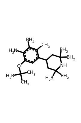 Bc1c(C)c(C2CC(B)(B)NC(B)(B)C2)cc(OC(B)(C)C)c1N